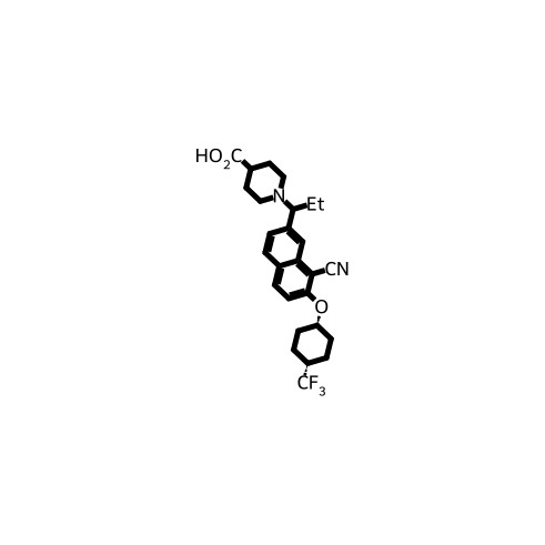 CCC(c1ccc2ccc(O[C@H]3CC[C@@H](C(F)(F)F)CC3)c(C#N)c2c1)N1CCC(C(=O)O)CC1